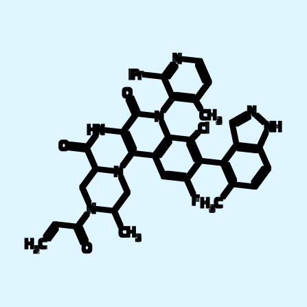 C=CC(=O)N1CC2C(=O)Nc3c(c4cc(F)c(-c5c(C)ccc6[nH]ncc56)c(Cl)c4n(-c4c(C)ccnc4C(C)C)c3=O)N2CC1C